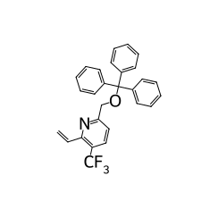 C=Cc1nc(COC(c2ccccc2)(c2ccccc2)c2ccccc2)ccc1C(F)(F)F